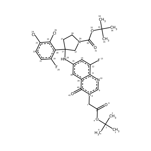 CC(C)(C)OC(=O)Cn1cnc2c(F)cc(NC3(c4c(F)ccc(Cl)c4Cl)CCN(C(=O)OC(C)(C)C)C3)cc2c1=O